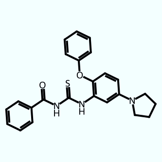 O=C(NC(=S)Nc1cc(N2CCCC2)ccc1Oc1ccccc1)c1ccccc1